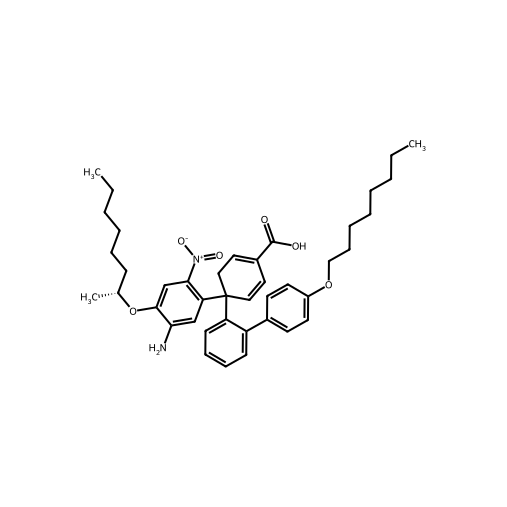 CCCCCCCCOc1ccc(-c2ccccc2C2(c3cc(N)c(O[C@H](C)CCCCCC)cc3[N+](=O)[O-])C=CC(C(=O)O)=CC2)cc1